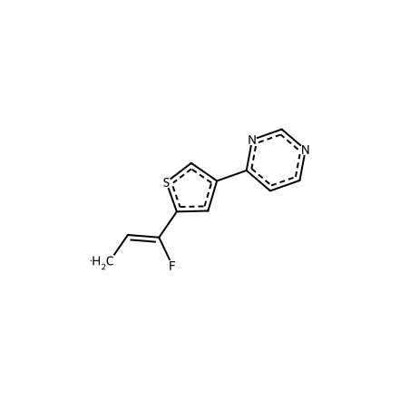 [CH2]/C=C(\F)c1cc(-c2ccncn2)cs1